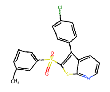 Cc1cccc(S(=O)(=O)c2sc3ncccc3c2-c2ccc(Cl)cc2)c1